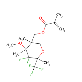 C=C(C)C(=O)OCC1(C)COC(C)(C(F)(F)F)C(F)(F)C1(C)OC